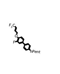 CCCCCc1ccc(-c2ccc(OCC=CC(F)(F)F)c(F)c2)cc1